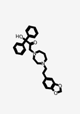 O=C(CN1CCCN(CCc2ccc3c(c2)OCO3)CC1)C(O)(c1ccccc1)c1ccccc1